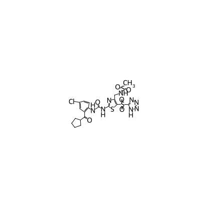 CS(=O)(=O)NCc1nc(NC(=O)Nc2ccc(Cl)cc2C(=O)C2CCCC2)sc1S(=O)(=O)c1nnn[nH]1